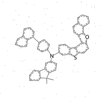 CC1(C)c2ccccc2-c2cc(N(c3ccc(-c4cccc5ccccc45)cc3)c3ccc4c(c3)sc3ccc5oc6c7ccccc7ccc6c5c34)ccc21